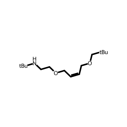 CC(C)(C)COC/C=C\COCCNC(C)(C)C